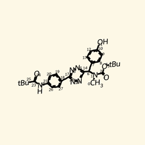 CN(C(=O)OC(C)(C)C)C(c1ccc(O)cc1)c1nnc(-c2ccc(NC(=O)C(C)(C)C)cc2)nn1